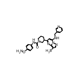 Bc1cnn2c(NCc3cccnc3)cc(C3CCCN(C(=O)Nc4ccc(ON)cc4)C3)nc12